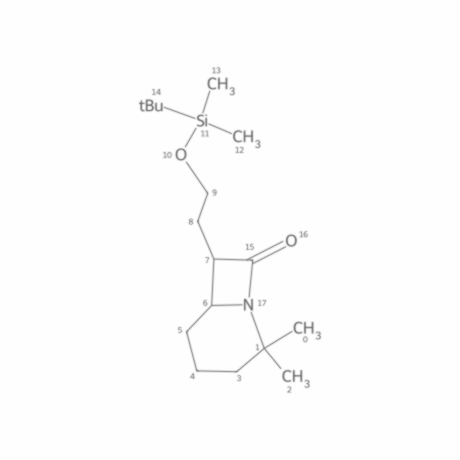 CC1(C)CCCC2C(CCO[Si](C)(C)C(C)(C)C)C(=O)N21